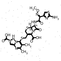 CON=C(C(=O)N[C@@H]1C(=O)N2C(C(=O)O)=C(CSC3=C(C)C(C)=NC4=CN(C(=O)O)NN43)CS[C@H]12)c1csc(N)n1